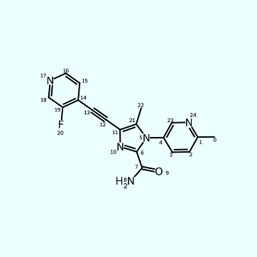 Cc1ccc(-n2c(C(N)=O)nc(C#Cc3ccncc3F)c2C)cn1